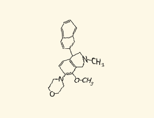 COc1c(N2CCOCC2)ccc2c1CN(C)CC2c1ccc2ccccc2c1